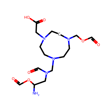 NC(CN(C=O)CN1CCN(COC=O)CCN(CC(=O)O)CC1)OC=O